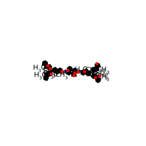 CC1(C)c2ccccc2-c2ccc(N(c3ccc4c(c3)C(C)(C)c3ccccc3-4)c3ccc4c(c3)C(C)(C)c3cc(/C=C/c5ccc6c7cccc8c(/C=C/c9ccc%10c(c9)C(C)(C)c9cc(N(c%11ccc%12c(c%11)C(C)(C)c%11ccccc%11-%12)c%11ccc%12c(c%11)C(C)(C)c%11ccccc%11-%12)ccc9-%10)ccc(c9cccc5c96)c87)ccc3-4)cc21